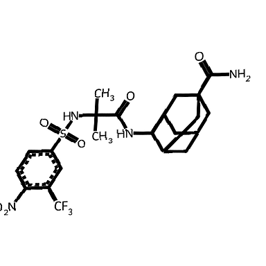 CC(C)(NS(=O)(=O)c1ccc([N+](=O)[O-])c(C(F)(F)F)c1)C(=O)NC1C2CC3CC1CC(C(N)=O)(C3)C2